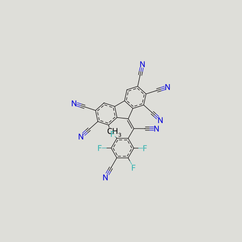 Cc1c(C#N)c(C#N)cc2c1/C(=C(/C#N)c1c(F)c(F)c(C#N)c(F)c1F)c1c-2cc(C#N)c(C#N)c1C#N